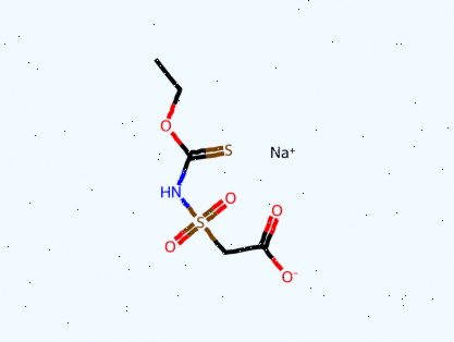 CCOC(=S)NS(=O)(=O)CC(=O)[O-].[Na+]